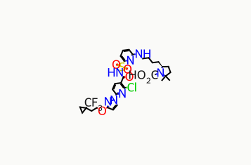 CC1(C)CC[C@H](CCCCNc2cccc(S(=O)(=O)NC(=O)c3ccc(-n4ccc(OCCC5(C(F)(F)F)CC5)n4)nc3Cl)n2)N1C(=O)O